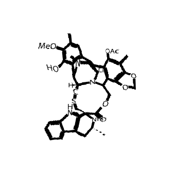 COc1c(C)cc2c(c1O)C1[C@@H]3CSC[C@]4(N[C@H](C)Cc5c4[nH]c4ccccc54)C(=O)OCC(c4c(C)c(OC(C)=O)c(C)c5c4OCO5)N3C(C#N)(C2)CN1C